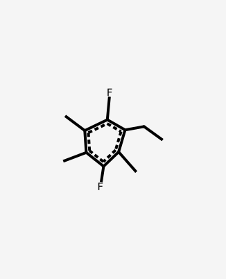 CCc1c(C)c(F)c(C)c(C)c1F